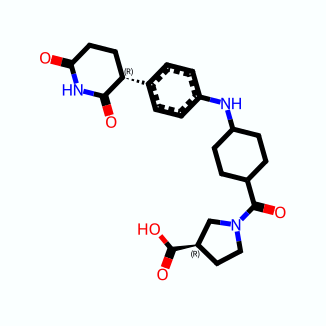 O=C1CC[C@H](c2ccc(NC3CCC(C(=O)N4CC[C@@H](C(=O)O)C4)CC3)cc2)C(=O)N1